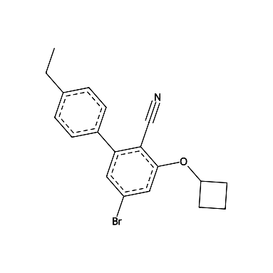 CCc1ccc(-c2cc(Br)cc(OC3CCC3)c2C#N)cc1